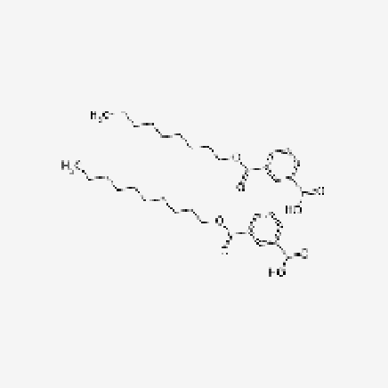 CCCCCCCCCCOC(=O)c1cccc(C(=O)O)c1.CCCCCCCCCOC(=O)c1cccc(C(=O)O)c1